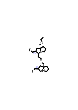 CCOC[C@]12CCCN1C(CCOC[C@]13CCCN1C/C(=C\F)C3)/C(=C/F)C2